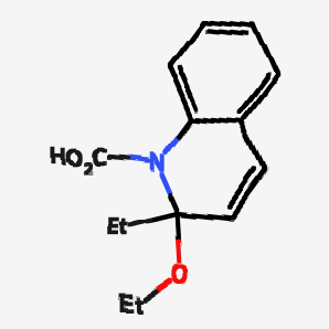 CCOC1(CC)C=Cc2ccccc2N1C(=O)O